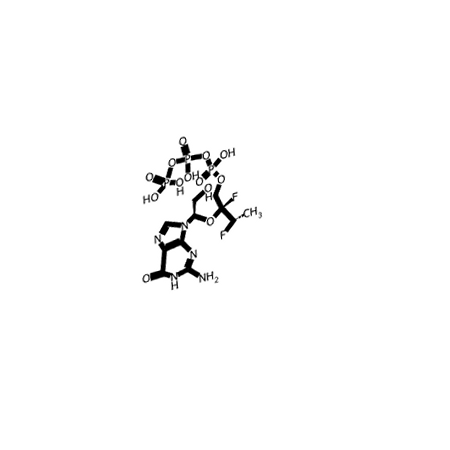 C[C@H](F)[C@@](F)(COP(=O)(O)OP(=O)(O)OP(=O)(O)O)O[C@H](CO)n1cnc2c(=O)[nH]c(N)nc21